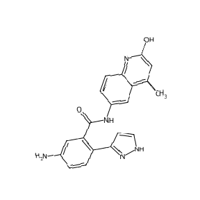 Cc1cc(O)nc2ccc(NC(=O)c3cc(N)ccc3-c3cc[nH]n3)cc12